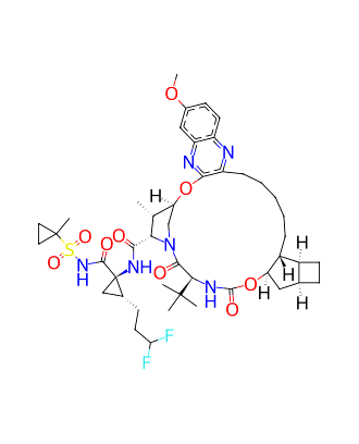 COc1ccc2nc3c(nc2c1)O[C@H]1CN(C(=O)[C@H](C(C)(C)C)NC(=O)O[C@@H]2C[C@@H]4CC[C@@H]4[C@H]2CCCCC3)[C@H](C(=O)N[C@]2(C(=O)NS(=O)(=O)C3(C)CC3)C[C@H]2CCC(F)F)[C@@H]1C